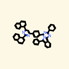 C1=CCC(c2nc(-c3ccc(-c4cc(-c5cccc6ccccc56)nc(-c5cccc6ccccc56)n4)cc3)n3c(-c4ccccc4)c4ccccc4c3n2)C=C1